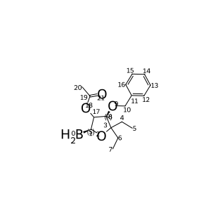 B[C@@H]1OC(CC)(CC)[C@H](OCc2ccccc2)C1OC(C)=O